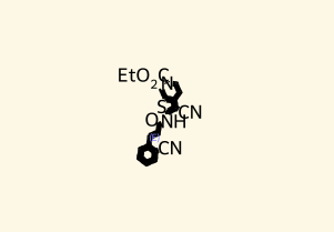 CCOC(=O)N1CCc2c(sc(NC(=O)/C=C/c3ccccc3C#N)c2C#N)C1